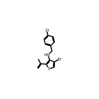 C=C(C)c1scc(CC)c1NCc1ccc(CC)cc1